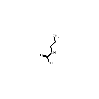 C[CH]CNC(=O)O